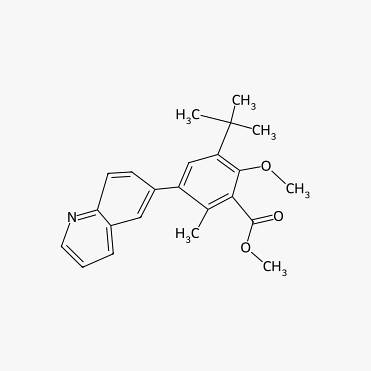 COC(=O)c1c(C)c(-c2ccc3ncccc3c2)cc(C(C)(C)C)c1OC